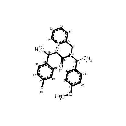 COc1ccc([C@@H](C)N(Cc2ccccn2)C(=O)CC(C)c2ccc(F)cc2)cc1